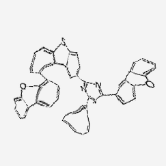 c1ccc(-c2nc(-c3ccc4oc5ccccc5c4c3)nc(-c3ccc4sc5cccc(-c6cccc7c6oc6ccccc67)c5c4c3)n2)cc1